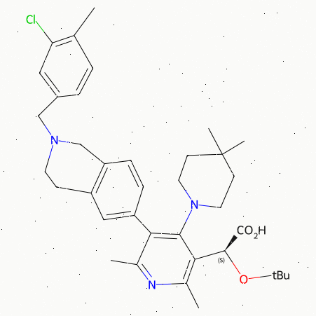 Cc1ccc(CN2CCc3cc(-c4c(C)nc(C)c([C@H](OC(C)(C)C)C(=O)O)c4N4CCC(C)(C)CC4)ccc3C2)cc1Cl